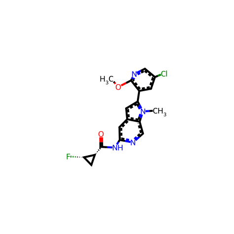 COc1ncc(Cl)cc1-c1cc2cc(NC(=O)[C@@H]3C[C@@H]3F)ncc2n1C